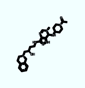 CC(=O)N1CCC(NC2c3[nH]nc(NCC[C@@H](O)CN4CCc5ccccc5C4)c3N=CN2C)CC1